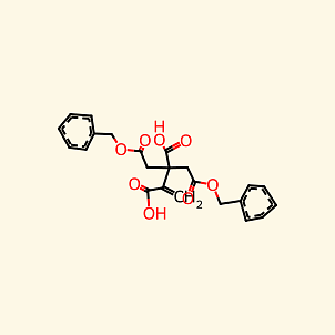 C=C(C(=O)O)C(CC(=O)OCc1ccccc1)(CC(=O)OCc1ccccc1)C(=O)O